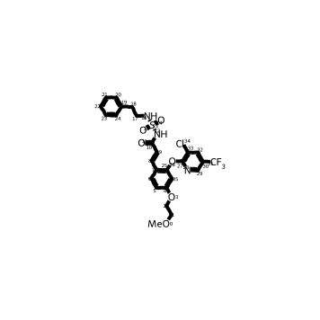 COCCOc1ccc(C=CC(=O)NS(=O)(=O)NCCc2ccccc2)c(Oc2ncc(C(F)(F)F)cc2Cl)c1